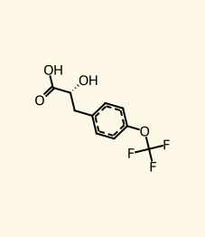 O=C(O)[C@H](O)Cc1ccc(OC(F)(F)F)cc1